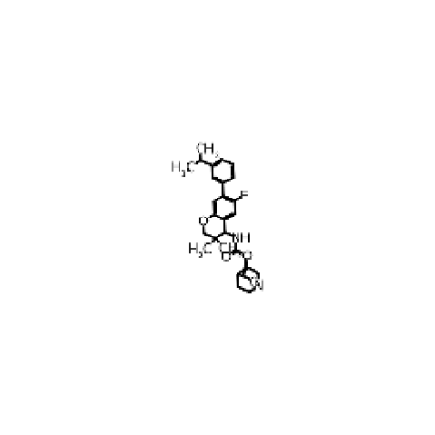 CC(C)c1cccc(-c2cc3c(cc2F)C(NC(=O)OC2CN4CCC2CC4)C(C)(C)CO3)c1